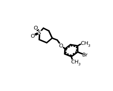 Cc1cc(OCC2CCS(=O)(=O)CC2)cc(C)c1Br